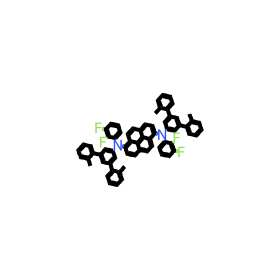 Cc1ccccc1-c1cc(-c2ccccc2C)cc(N(c2cccc(F)c2F)c2ccc3ccc4c(N(c5cc(-c6ccccc6C)cc(-c6ccccc6C)c5)c5cccc(F)c5F)ccc5ccc2c3c54)c1